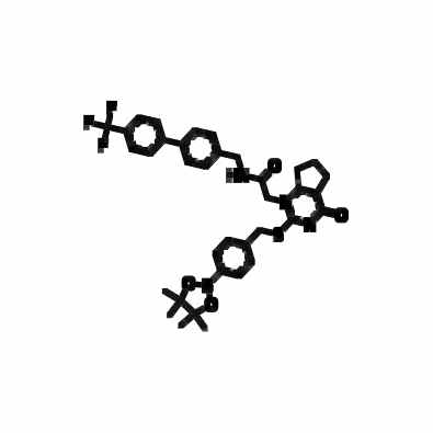 CC1(C)OB(c2ccc(CSc3nc(=O)c4c(n3CC(=O)NCc3ccc(-c5ccc(C(F)(F)F)cc5)cc3)CCC4)cc2)OC1(C)C